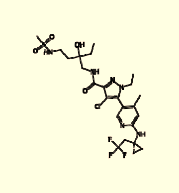 CCn1nc(C(=O)NCC(O)(CC)CCNS(C)(=O)=O)c(Cl)c1-c1cnc(NC2(CC(F)(F)F)CC2)cc1C